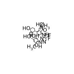 COc1cc(CP(=O)(O)O)ccc1Nc1ncc(C(F)(F)F)c(Nc2ccc([C@H]3CC[C@H](O)CC3)c3c2C(=O)N(C)C3)n1.Cl